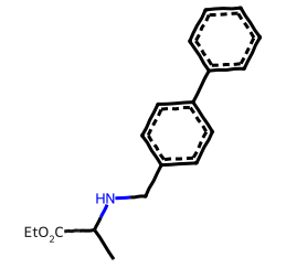 CCOC(=O)C(C)NCc1ccc(-c2ccccc2)cc1